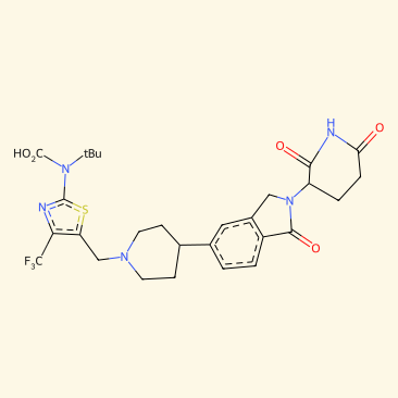 CC(C)(C)N(C(=O)O)c1nc(C(F)(F)F)c(CN2CCC(c3ccc4c(c3)CN(C3CCC(=O)NC3=O)C4=O)CC2)s1